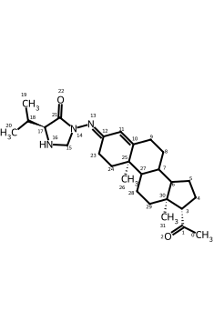 CC(=O)[C@H]1CCC2C3CCC4=C/C(=N/N5CN[C@@H](C(C)C)C5=O)CC[C@]4(C)C3CC[C@@]21C